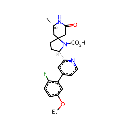 CCOc1ccc(F)c(-c2ccnc([C@@H]3CCC4(CC(=O)N[C@@H](C)C4)N3C(=O)O)c2)c1